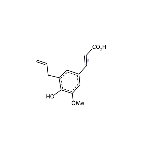 C=CCc1cc(/C=C/C(=O)O)cc(OC)c1O